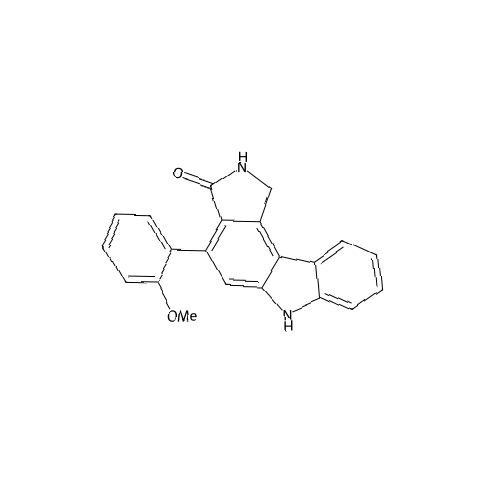 COc1ccccc1-c1cc2[nH]c3ccccc3c2c2c1C(=O)NC2